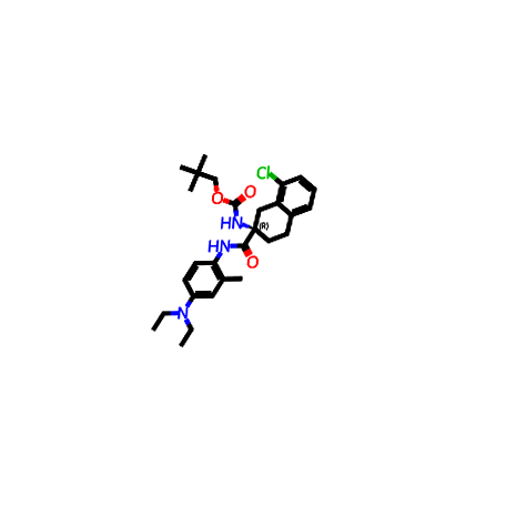 CCN(CC)c1ccc(NC(=O)[C@@]2(NC(=O)OCC(C)(C)C)CCc3cccc(Cl)c3C2)c(C)c1